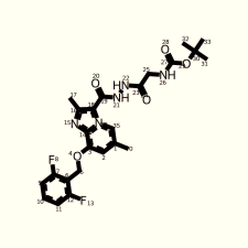 Cc1cc(OCc2c(F)cccc2F)c2nc(C)c(C(=O)NNC(=O)CNC(=O)OC(C)(C)C)n2c1